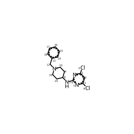 Clc1cc(Cl)nc(NC2CCN(Cc3ccccc3)CC2)n1